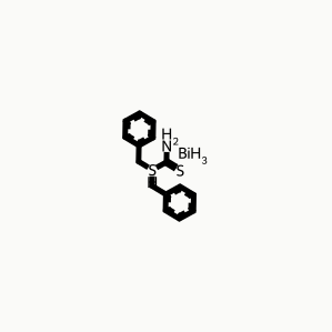 NC(=S)[SH](Cc1ccccc1)Cc1ccccc1.[BiH3]